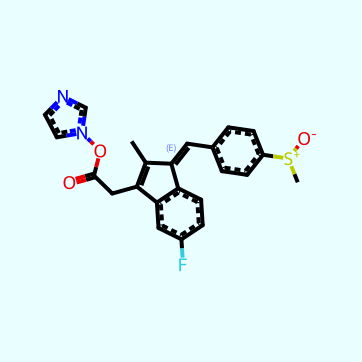 CC1=C(CC(=O)On2ccnc2)c2cc(F)ccc2/C1=C\c1ccc([S+](C)[O-])cc1